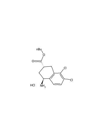 CCCCOC(=O)[C@@H]1Cc2c(ccc(Cl)c2Cl)[C@@H](N)C1.Cl